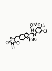 CCCCn1c(-c2nc3cc(Cl)c(Cl)cc3n2COC)cc2cc(/C=C3/SC(=O)NC3=O)ccc21